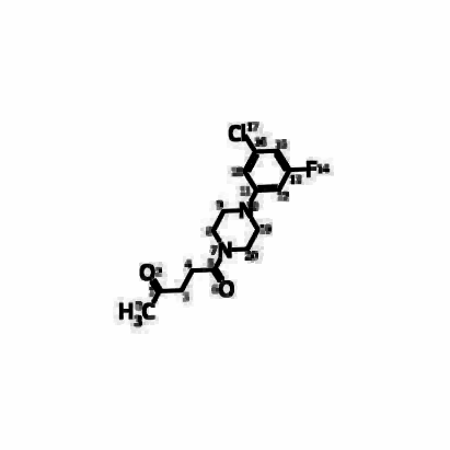 CC(=O)CCC(=O)N1CCN(c2cc(F)cc(Cl)c2)CC1